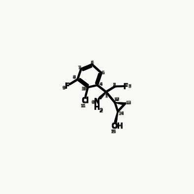 N[C@](CF)(c1cccc(F)c1Cl)[C@H]1C[C@H]1O